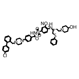 O=C(NS(=O)(=O)c1ccc(N[C@H](CCN2CCC(O)CC2)CSc2ccccc2)c([N+](=O)[O-])c1)c1ccc(N2CCN(Cc3ccccc3-c3ccc(Cl)cc3)CC2)cc1